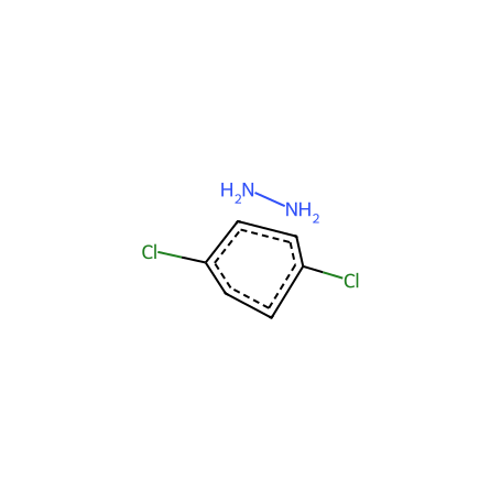 Clc1ccc(Cl)cc1.NN